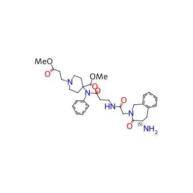 COC(=O)CCN1CCC(C(=O)OC)(N(C(=O)CCNC(=O)CN2Cc3ccccc3C[C@H](N)C2=O)c2ccccc2)CC1